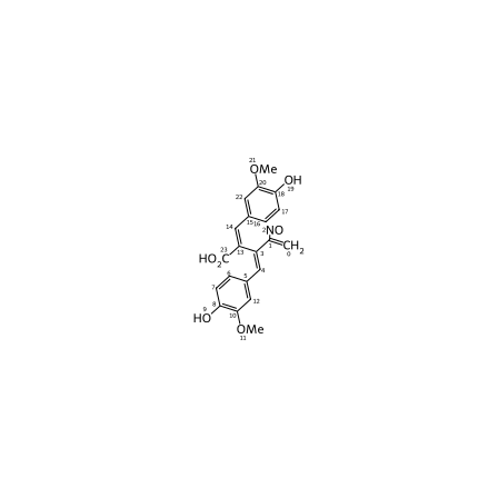 C=C(N=O)C(=C/c1ccc(O)c(OC)c1)/C(=C\c1ccc(O)c(OC)c1)C(=O)O